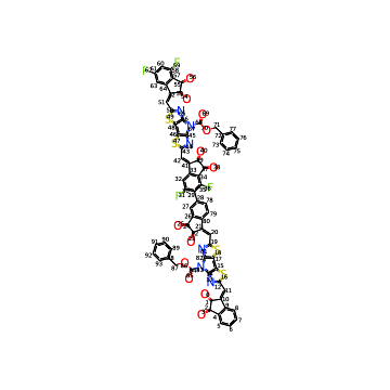 O=C1C(=O)c2ccccc2/C1=C/c1nc2c(s1)c1sc(/C=C3\C(=O)C(=O)c4cc(-c5c(F)cc6c(c5F)C(=O)C(=O)/C6=C\c5nc6c(s5)c5sc(/C=C7\C(=O)C(=O)c8c(F)cc(F)cc87)nc5n6C(=O)OCc5ccccc5)ccc43)nc1n2C(=O)OCc1ccccc1